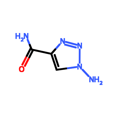 NC(=O)c1cn(N)nn1